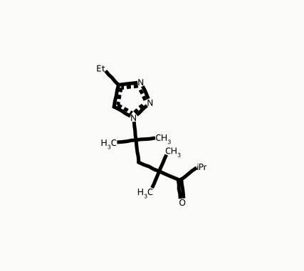 CCc1cn(C(C)(C)CC(C)(C)C(=O)C(C)C)nn1